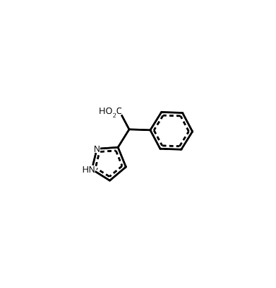 O=C(O)C(c1ccccc1)c1cc[nH]n1